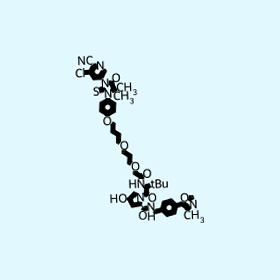 Cc1ncoc1-c1ccc(CNC(=O)[C@@H]2C[C@@H](O)CN2C(=O)C(NC(=O)COCCCOCCCCOc2ccc(N3C(=S)N(c4cnc(C#N)c(Cl)c4)C(=O)C3(C)C)cc2)C(C)(C)C)cc1